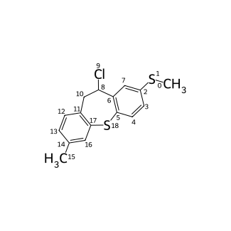 CSc1ccc2c(c1)C(Cl)Cc1ccc(C)cc1S2